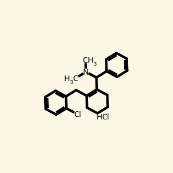 CN(C)C(C1=C(Cc2ccccc2Cl)CCCC1)c1ccccc1.Cl